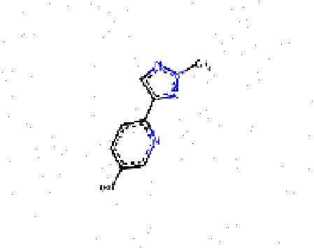 Cn1ncc(-c2ccc(C(C)(C)C)cn2)n1